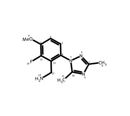 COc1ccc(-n2nc(C)nc2C)c(CN)c1F